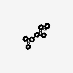 C1=C(c2ccc3c(c2)c2ccccc2n3-c2cccc3c2oc2ccccc23)CCc2c1c1ccccc1n2-c1ccccc1